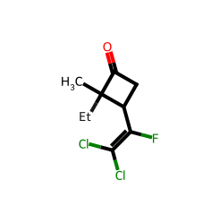 CCC1(C)C(=O)CC1C(F)=C(Cl)Cl